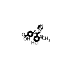 COc1ccccc1C(Cn1ccnc1)Sc1ccc(C(=O)O)cc1.Cl